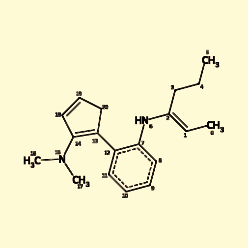 CC=C(CCC)Nc1ccccc1C1=C(N(C)C)C=CC1